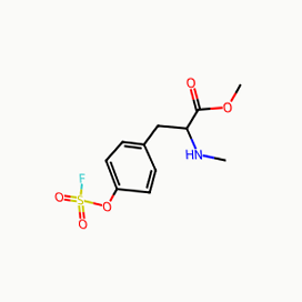 CNC(Cc1ccc(OS(=O)(=O)F)cc1)C(=O)OC